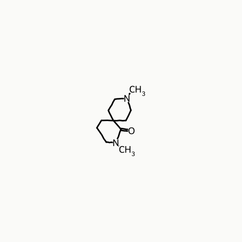 CN1CCC2(CCCN(C)C2=O)CC1